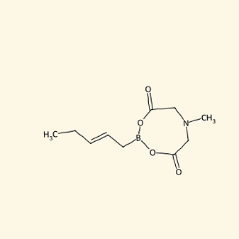 CCC=CCB1OC(=O)CN(C)CC(=O)O1